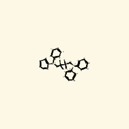 CC(C)(CP(c1ccccc1)c1ccccc1)C(C)(C)CP(c1ccccc1)c1ccccc1